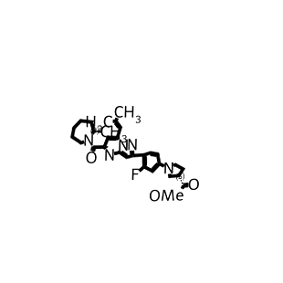 COC(=O)[C@H]1CCN(c2ccc(-c3cc4nc(C(=O)N5CCCCC[C@H]5C)cc(C=C(C)C)n4n3)c(F)c2)C1